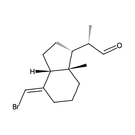 C[C@H](C=O)[C@H]1CC[C@H]2/C(=C/Br)CCC[C@@]12C